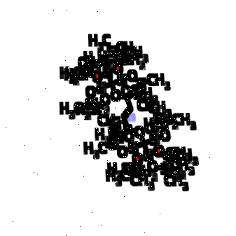 C[SiH2]O[Si](O[SiH2]C)(O[SiH2]C)C(OC(=O)/C=C/C(=O)OC([Si](O[SiH2]C)(O[SiH2]C)O[SiH2]C)([Si](O[SiH2]C)(O[SiH2]C)O[SiH2]C)[Si](O[SiH2]C)(O[SiH2]C)O[SiH2]C)([Si](O[SiH2]C)(O[SiH2]C)O[SiH2]C)[Si](O[SiH2]C)(O[SiH2]C)O[SiH2]C